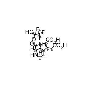 O=C(O)C(F)(F)F.O=C(O)CC1=C(C(=O)O)N2C(=O)[C@H]3NCCC1[C@H]32